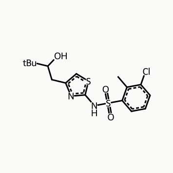 Cc1c(Cl)cccc1S(=O)(=O)Nc1nc(CC(O)C(C)(C)C)cs1